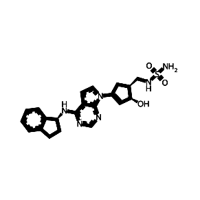 NS(=O)(=O)NC[C@@H]1CC(n2ccc3c(N[C@H]4CCc5ccccc54)ncnc32)=C[C@@H]1O